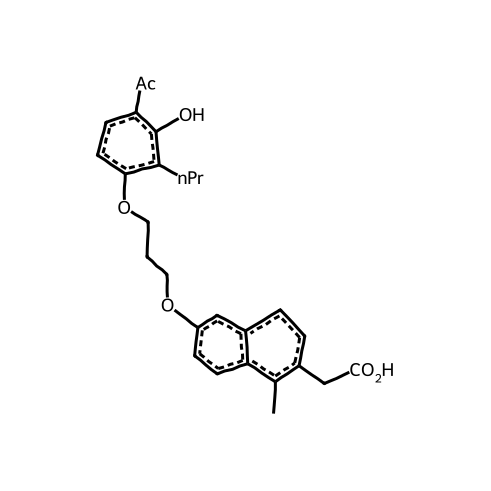 CCCc1c(OCCCOc2ccc3c(C)c(CC(=O)O)ccc3c2)ccc(C(C)=O)c1O